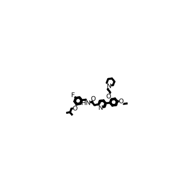 CCOc1ccc(-c2ccc(CC(=O)NCc3cc(F)cc(OCC(C)C)c3)nc2)c(OCCN2CCCCC2)c1